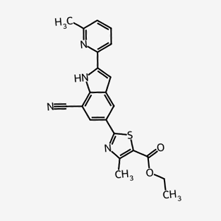 CCOC(=O)c1sc(-c2cc(C#N)c3[nH]c(-c4cccc(C)n4)cc3c2)nc1C